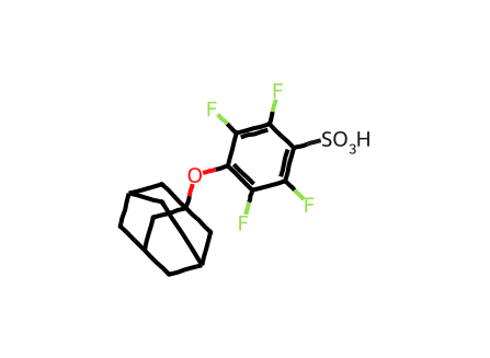 O=S(=O)(O)c1c(F)c(F)c(OC23CC4CC(CC(C4)C2)C3)c(F)c1F